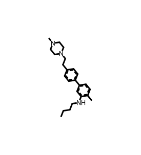 CCCCNc1cc(-c2ccc(CCN3CCN(C)CC3)cc2)ccc1C